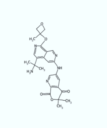 CC1(Oc2ncc(C(C)(C)N)c3cc(Nc4cnc5c(c4)C(=O)C(C)(C)OC5=O)ncc23)COC1